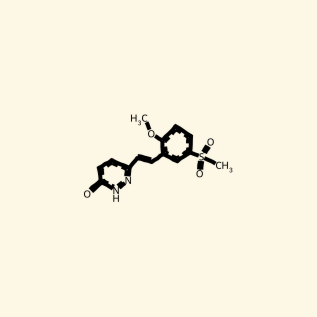 COc1ccc(S(C)(=O)=O)cc1C=Cc1ccc(=O)[nH]n1